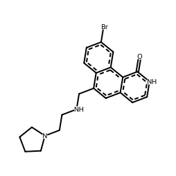 O=c1[nH]ccc2cc(CNCCN3CCCC3)c3ccc(Br)cc3c12